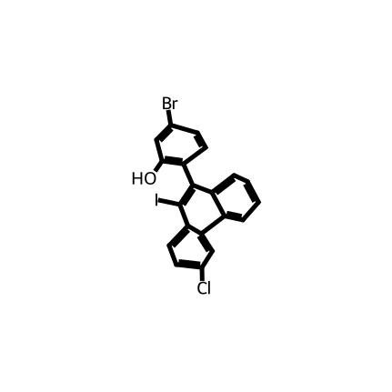 Oc1cc(Br)ccc1-c1c(I)c2ccc(Cl)cc2c2ccccc12